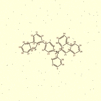 c1ccc(N(c2ccc(-c3cccc4c3sc3ccccc34)cc2)c2cc3ccccc3c3ccccc23)cc1